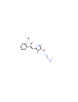 CCN(CC)CCNC(=O)c1c(C)[nH]c(/C=C2\C(=O)N(C(=O)Cl)c3ccc(F)cc32)c1C